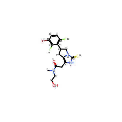 CN(CCO)C(=O)Cc1[nH]c(=S)n2c1CC(c1c(F)ccc(Br)c1F)C2